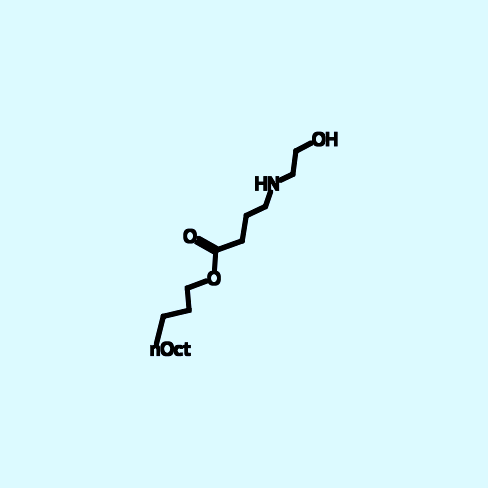 CCCCCCCCCCCOC(=O)CCCNCCO